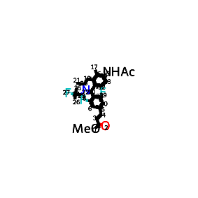 COC(=O)/C=C/c1cc(F)c(C2c3ccc(NC(C)=O)c(C)c3CC(C)N2CC(C)(C)F)c(F)c1